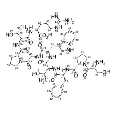 C[C@@H](O)[C@H](NC(=O)[C@H](Cc1ccccc1)NC(=O)[C@@H]1CCCN1C(=O)[C@@H](N)CO)C(=O)N[C@@H](Cc1c[nH]c2ccccc12)C(=O)NCC(=O)N1CCC[C@H]1C(=O)N[C@H](C(=O)N[C@@H](CCCNC(=N)N)C(=O)O)[C@@H](C)O